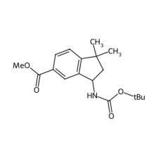 COC(=O)c1ccc2c(c1)C(NC(=O)OC(C)(C)C)CC2(C)C